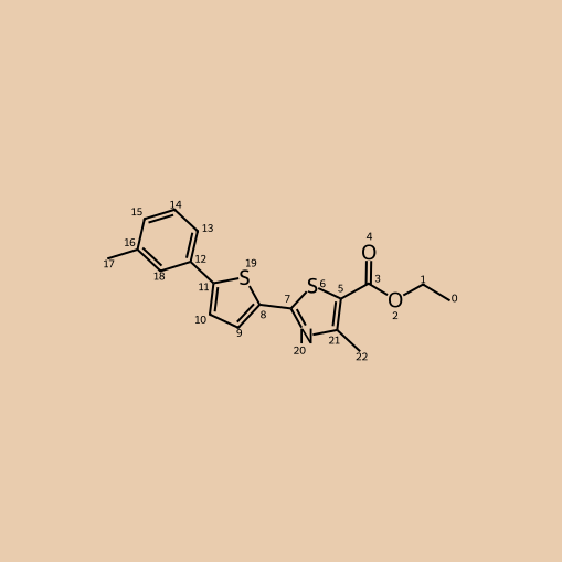 CCOC(=O)c1sc(-c2ccc(-c3cccc(C)c3)s2)nc1C